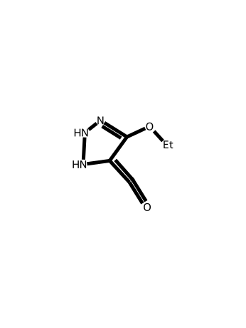 CCOC1=NNNC1=C=O